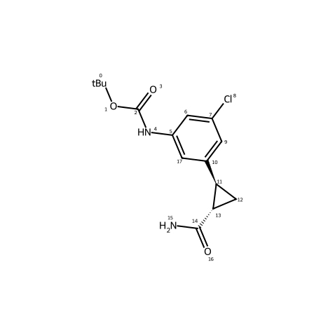 CC(C)(C)OC(=O)Nc1cc(Cl)cc([C@H]2C[C@@H]2C(N)=O)c1